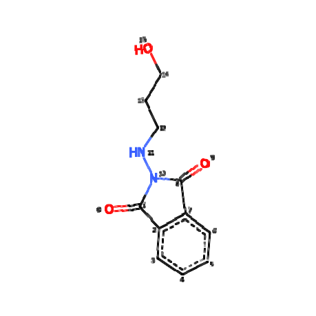 O=C1c2ccccc2C(=O)N1NCCCO